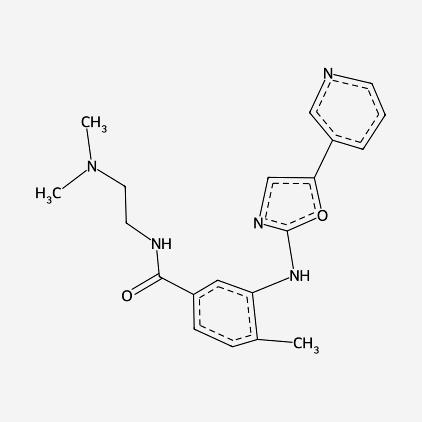 Cc1ccc(C(=O)NCCN(C)C)cc1Nc1ncc(-c2cccnc2)o1